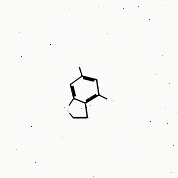 Oc1cc(Br)cc2c1CCN2